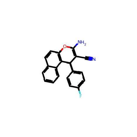 N#CC1=C(N)Oc2ccc3ccccc3c2C1c1ccc(F)cc1